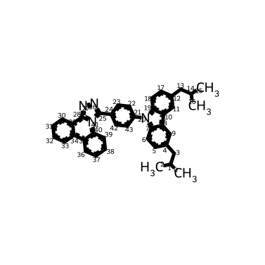 CC(C)Cc1ccc2c(c1)c1cc(CC(C)C)ccc1n2-c1ccc(-c2nnc3c4ccccc4c4ccccc4n23)cc1